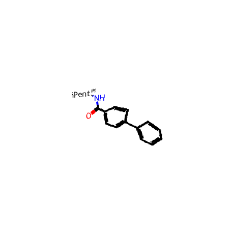 CCC[C@@H](C)NC(=O)c1ccc(-c2ccccc2)cc1